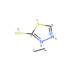 CC.Sc1nncs1